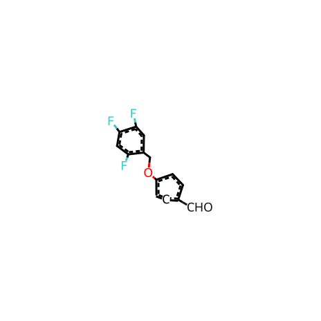 O=Cc1ccc(OCc2cc(F)c(F)cc2F)cc1